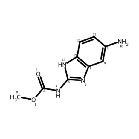 COC(=O)Nc1nc2cc(N)ccc2[nH]1